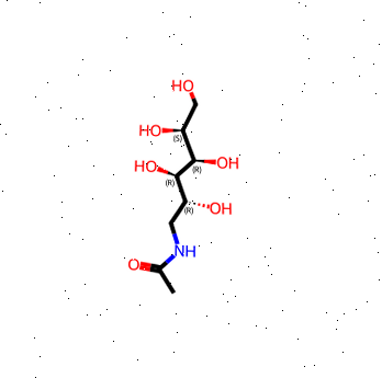 CC(=O)NC[C@@H](O)[C@@H](O)[C@H](O)[C@@H](O)CO